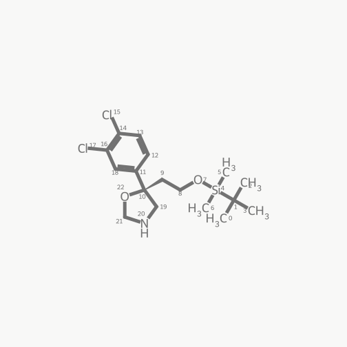 CC(C)(C)[Si](C)(C)OCC[C@@]1(c2ccc(Cl)c(Cl)c2)CNCO1